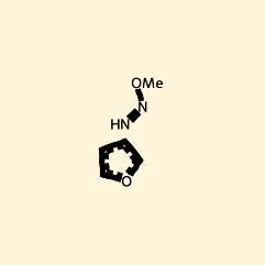 CON=N.c1ccoc1